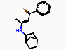 CC(=CC(=S)c1ccccc1)NC1CC2CCC1C2